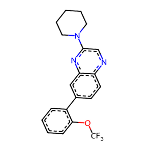 FC(F)(F)Oc1ccccc1-c1ccc2ncc(N3CCCCC3)nc2c1